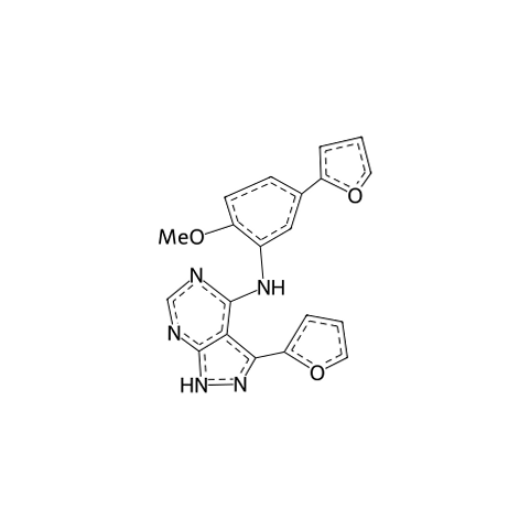 COc1ccc(-c2ccco2)cc1Nc1ncnc2[nH]nc(-c3ccco3)c12